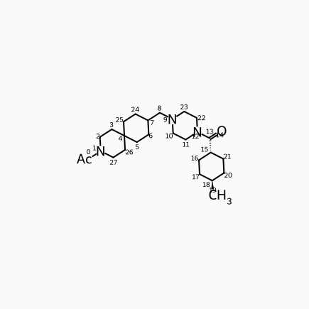 CC(=O)N1CCC2(CCC(CN3CCN(C(=O)[C@H]4CC[C@H](C)CC4)CC3)CC2)CC1